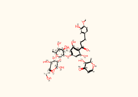 COc1ccc(CCC(=O)c2c(O)cc(O[C@H]3[C@H](O[C@@H]4[C@@H](O)[C@H](O)[C@@H](CO)O[C@H]4O)O[C@@H](C)[C@H](O)[C@H]3O)cc2O)cc1O.Cc1occc(=O)c1O